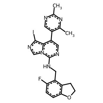 Cc1ncc(-c2cnc(NCc3c(F)ccc4c3CCO4)n3cnc(I)c23)c(C)n1